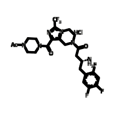 CC(=O)N1CCN(C(=O)c2nc(C(F)(F)F)n3c2CN(C(=O)C[C@H](N)Cc2cc(F)c(F)cc2F)CC3)CC1.Cl